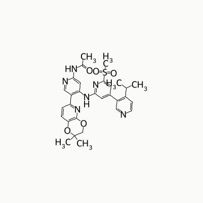 CC(=O)Nc1cc(Nc2cc(-c3cnccc3C(C)C)cc(S(C)(=O)=O)n2)c(-c2ccc3c(n2)OCC(C)(C)O3)cn1